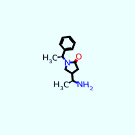 C[C@H](N)C1CC(=O)N([C@@H](C)c2ccccc2)C1